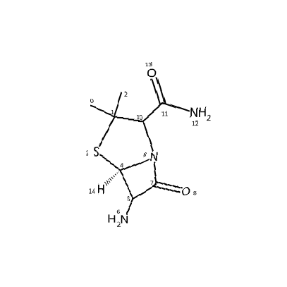 CC1(C)S[C@@H]2C(N)C(=O)N2C1C(N)=O